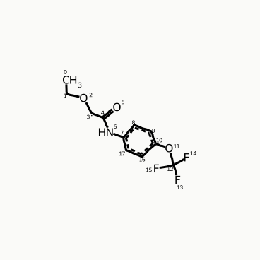 CCO[CH]C(=O)Nc1ccc(OC(F)(F)F)cc1